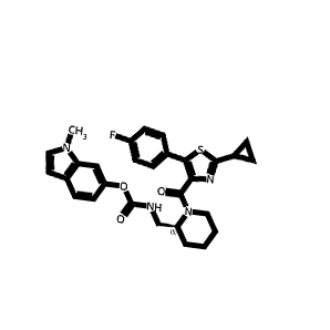 Cn1ccc2ccc(OC(=O)NC[C@@H]3CCCCN3C(=O)c3nc(C4CC4)sc3-c3ccc(F)cc3)cc21